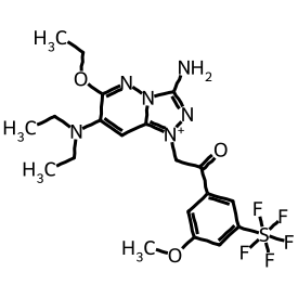 CCOc1nn2c(N)n[n+](CC(=O)c3cc(OC)cc(S(F)(F)(F)(F)F)c3)c2cc1N(CC)CC